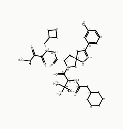 CNC(=O)C(=O)[C@H](CC1CCC1)NC(=O)[C@@H]1C[C@]2(CC(c3cccc(Cl)c3)=NO2)CN1C(=O)[C@@H](NC(=O)CC1CCCCC1)C(C)(C)C